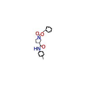 Cc1ccc(NC(=O)C2CCN(C(=O)OCc3ccccc3)C2)cc1